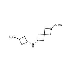 CCCCCCN1CC2(CC(N[C@H]3C[C@H](C)C3)C2)C1